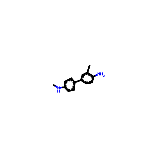 CNc1ccc(-c2ccc(N)c(C)c2)cc1